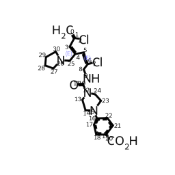 C=C(Cl)/C=C(\C=C(\Cl)CNC(=O)N1CCN(c2ccc(C(=O)O)cc2)CC1)CN1CCCC1